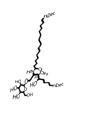 CCCCCCCCCCCCCCCCCCCCCCCCCC(=O)NC(COC1OC(CO)C(O)C(O)C1O)[C@@H](O)C(O)CCCCCCCCCCCCCC